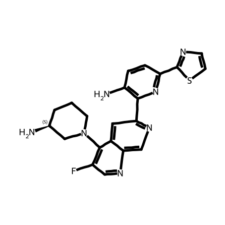 Nc1ccc(-c2nccs2)nc1-c1cc2c(N3CCC[C@H](N)C3)c(F)cnc2cn1